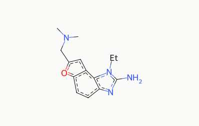 CCn1c(N)nc2ccc3oc(CN(C)C)cc3c21